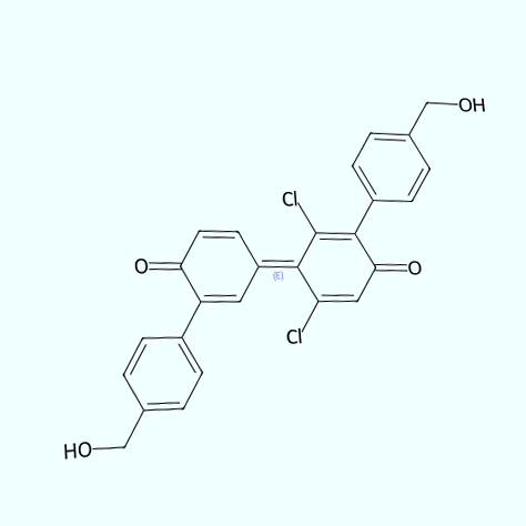 O=C1C=C/C(=C2/C(Cl)=CC(=O)C(c3ccc(CO)cc3)=C2Cl)C=C1c1ccc(CO)cc1